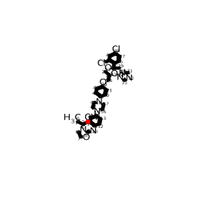 CCC(CC)N1CCO/C1=N/c1ccc(N2CCN(c3ccc(OCC4COC(Cn5cncn5)(c5ccc(Cl)cc5Cl)O4)cc3)CC2)cc1